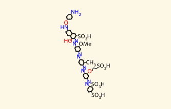 COc1cc(N=Nc2ccc(N=Nc3ccc(N=Nc4ccc(S(=O)(=O)O)cc4S(=O)(=O)O)cc3OCCCS(=O)(=O)O)c(C)c2)ccc1N=Nc1c(S(=O)(=O)O)cc2cc(NCOc3ccc(N)cc3)ccc2c1O